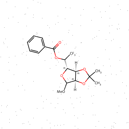 COC1O[C@H](C(OC(=O)c2ccccc2)C(F)(F)F)[C@H]2OC(C)(C)O[C@@H]12